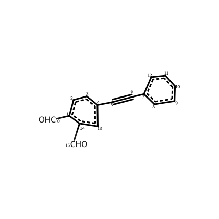 O=Cc1ccc(C#Cc2ccccc2)cc1C=O